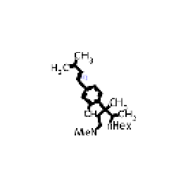 C=C(C)/C=C/c1ccc(C(C)(CCNC)C(=C)CCCCCC)c(C)c1